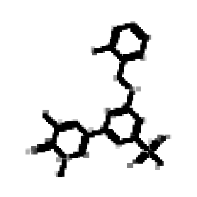 Cc1ccccc1COc1cc(-c2cc(C)c(=O)n(C)c2)cc(S(C)(=O)=O)c1